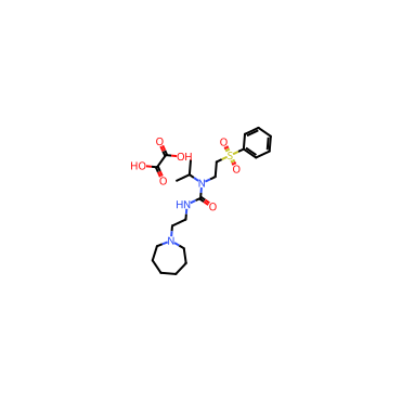 CC(C)N(CCS(=O)(=O)c1ccccc1)C(=O)NCCN1CCCCCC1.O=C(O)C(=O)O